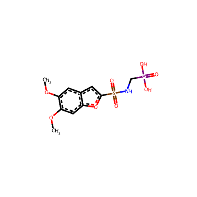 COc1cc2cc(S(=O)(=O)NCP(=O)(O)O)oc2cc1OC